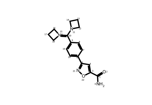 NC(=O)c1cc(-c2ccc(C(N3CCC3)=[N+]3CCC3)cc2)no1